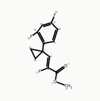 COC(=O)C(F)=CC1(c2ccc(F)cc2F)CC1